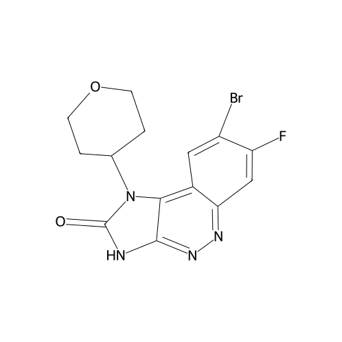 O=c1[nH]c2nnc3cc(F)c(Br)cc3c2n1C1CCOCC1